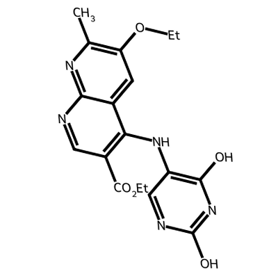 CCOC(=O)c1cnc2nc(C)c(OCC)cc2c1Nc1cnc(O)nc1O